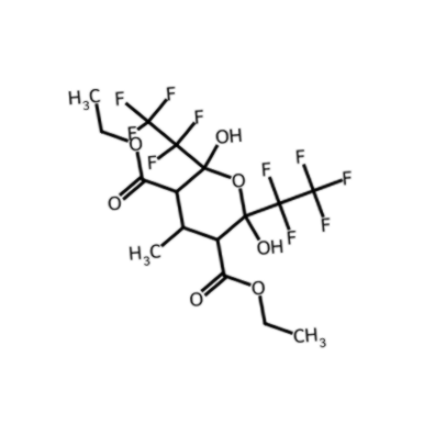 CCOC(=O)C1C(C)C(C(=O)OCC)C(O)(C(F)(F)C(F)(F)F)OC1(O)C(F)(F)C(F)(F)F